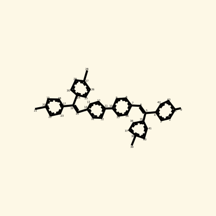 Cc1ccc(C(=Cc2ccc(-c3ccc(C=C(c4ccc(C)cc4)c4ccc(C)cc4)cc3)cc2)c2ccc(C)cc2)cc1